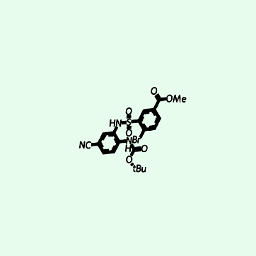 COC(=O)c1ccc(Br)c(S(=O)(=O)Nc2cc(C#N)ccc2NC(=O)OC(C)(C)C)c1